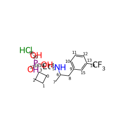 C1CCC1.CCNC(C)Cc1cccc(C(F)(F)F)c1.Cl.O=[PH](O)O